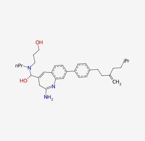 C=C(CCc1ccc(-c2ccc3c(c2)N=C(N)CC(C(O)N(CCC)CCCO)=C3)cc1)CCC(C)C